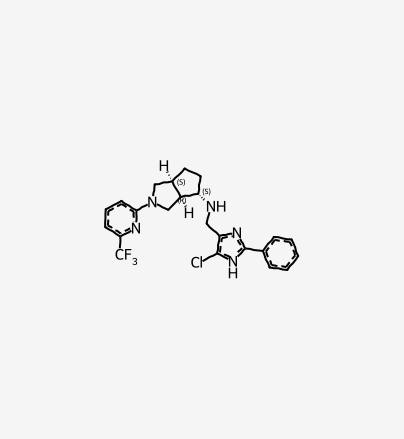 FC(F)(F)c1cccc(N2C[C@H]3CC[C@H](NCc4nc(-c5ccccc5)[nH]c4Cl)[C@H]3C2)n1